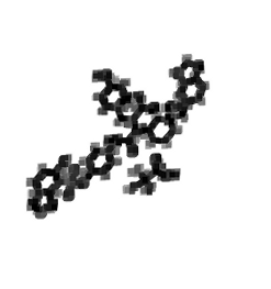 C[N+]1(Cc2ccc3c(c2)OCO3)CCC/C(=[N+](\C(=O)Nc2ccc(OS(=O)(=O)c3c(Cl)ccc4nonc34)cc2)[C@@H](Cc2ccc(O)cc2)C(N)=O)C1.O=C(O)C(F)(F)F